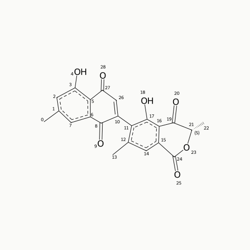 Cc1cc(O)c2c(c1)C(=O)C(c1c(C)cc3c(c1O)C(=O)[C@H](C)OC3=O)=CC2=O